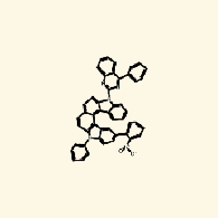 O=[N+]([O-])c1ccccc1-c1ccc2c(c1)c1c3c(ccc1n2-c1ccccc1)ccc1c3c2ccccc2n1-c1nc(-c2ccccc2)c2ccccc2n1